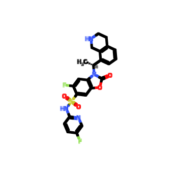 C[C@H](c1cccc2c1CNCC2)n1c(=O)oc2cc(S(=O)(=O)Nc3ccc(F)cn3)c(F)cc21